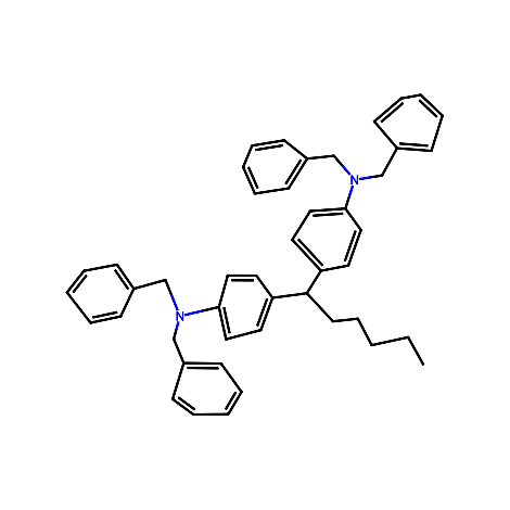 CCCCCC(c1ccc(N(Cc2ccccc2)Cc2ccccc2)cc1)c1ccc(N(Cc2ccccc2)Cc2ccccc2)cc1